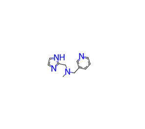 CN(Cc1cccnc1)Cc1ncc[nH]1